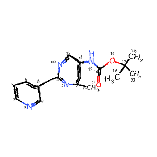 Cc1nc(-c2cccnc2)ncc1NC(=O)OC(C)(C)C